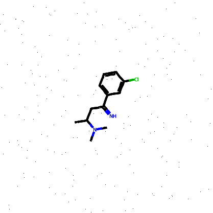 CC(CC(=N)c1cc[c]c(Cl)c1)N(C)C